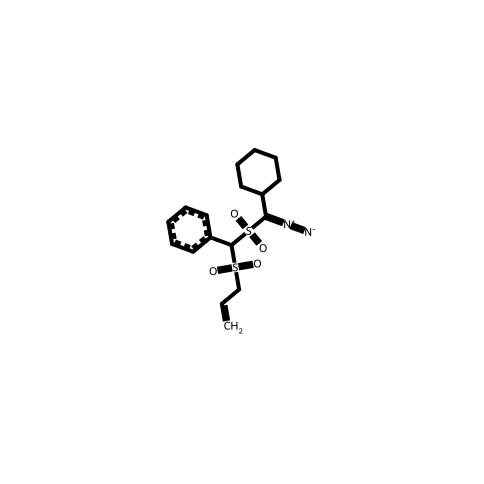 C=CCS(=O)(=O)C(c1ccccc1)S(=O)(=O)C(=[N+]=[N-])C1CCCCC1